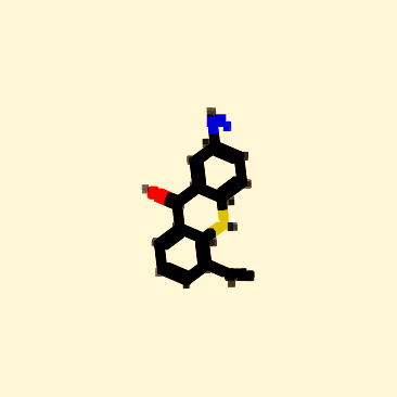 COc1cccc2c(=O)c3cc(N)ccc3sc12